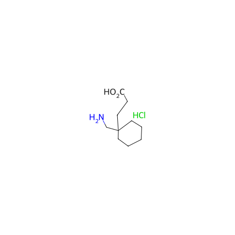 Cl.NCC1(CCC(=O)O)CCCCC1